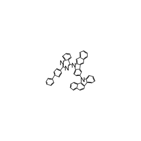 c1ccc(-c2ccc(-c3nc(-n4c5ccc(-n6c7ccccc7c7ccc8ccccc8c76)cc5c5cc6ccccc6cc54)c4ccccc4n3)cc2)cc1